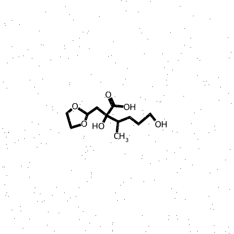 CC(CCCO)C(O)(CC1OCCO1)C(=O)O